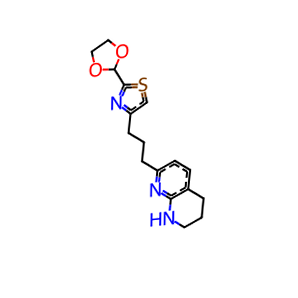 c1sc(C2OCCO2)nc1CCCc1ccc2c(n1)NCCC2